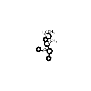 CC1C=CC(C)(C)Oc2ccc3c(c21)OCC(C1=CCC=C(c2ccccc2)C=C1OCc1ccccc1)=CC3